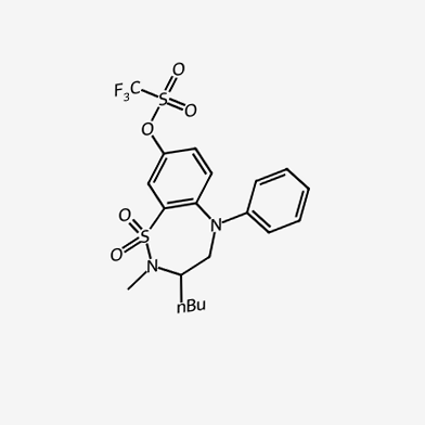 CCCCC1CN(c2ccccc2)c2ccc(OS(=O)(=O)C(F)(F)F)cc2S(=O)(=O)N1C